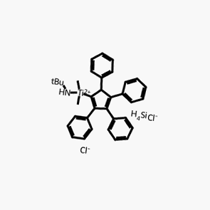 CC(C)(C)[NH][Ti+2]([CH3])([CH3])[C]1=C(c2ccccc2)C(c2ccccc2)=C(c2ccccc2)C1c1ccccc1.[Cl-].[Cl-].[SiH4]